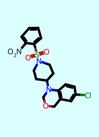 O=[N+]([O-])c1ccccc1S(=O)(=O)N1CCC(N2COCc3cc(Cl)ccc32)CC1